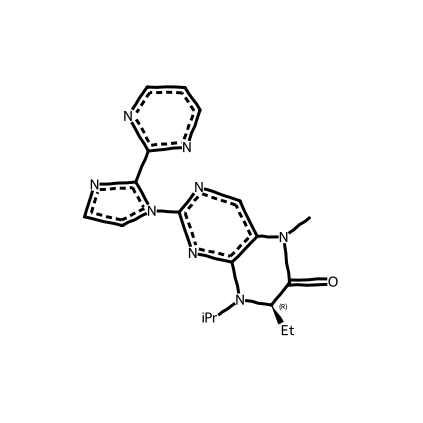 CC[C@@H]1C(=O)N(C)c2cnc(-n3ccnc3-c3ncccn3)nc2N1C(C)C